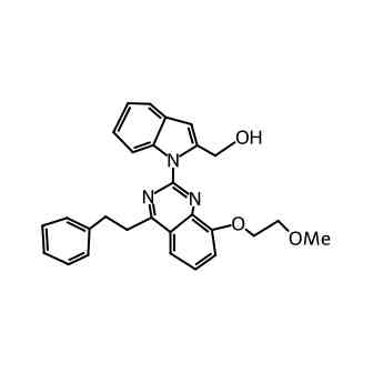 COCCOc1cccc2c(CCc3ccccc3)nc(-n3c(CO)cc4ccccc43)nc12